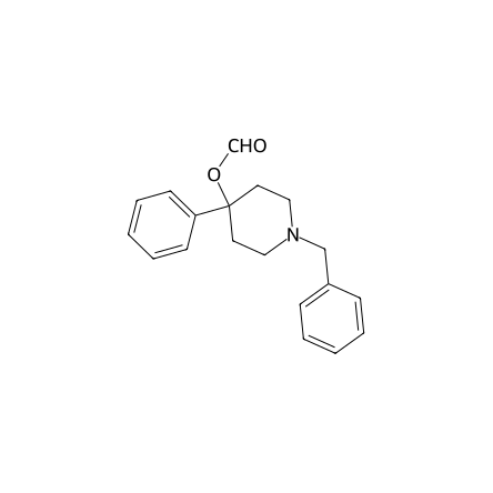 O=COC1(c2ccccc2)CCN(Cc2ccccc2)CC1